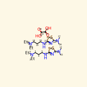 CCN(CC)CCCNC1=NC(N(C)C)SS1.CCN(CC)CCCNC1=NC(N(C)C)SS1.O=C(O)C(=O)O